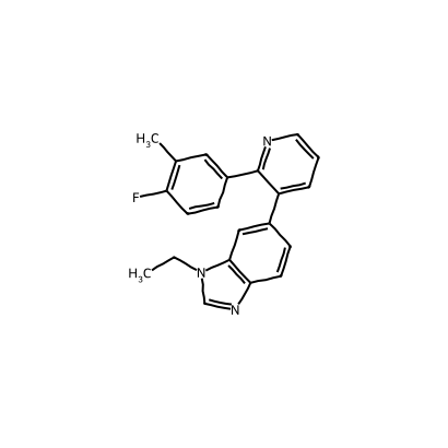 CCn1cnc2ccc(-c3cccnc3-c3ccc(F)c(C)c3)cc21